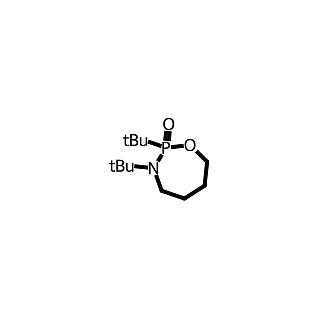 CC(C)(C)N1CCCCOP1(=O)C(C)(C)C